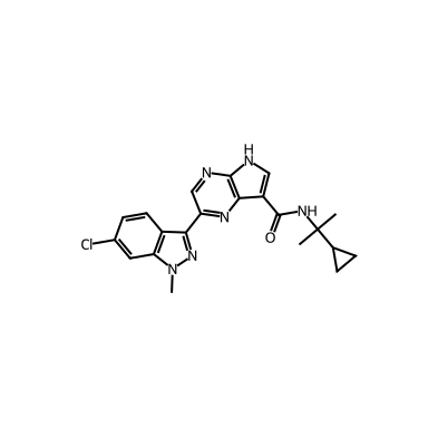 Cn1nc(-c2cnc3[nH]cc(C(=O)NC(C)(C)C4CC4)c3n2)c2ccc(Cl)cc21